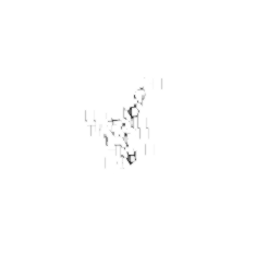 CC(C)=C/C(Nc1ccc(N2CCC(O)CC2)cn1)=C(\C)C(O)NCNc1c(C)ccn1C